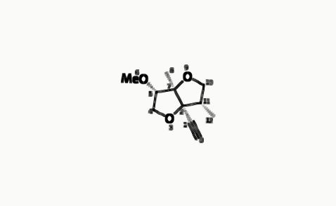 C#C[C@]12OC[C@H](OC)[C@@]1(C)OC[C@@H]2C